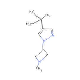 CN1CC(n2cc(C(C)(C)C)cn2)C1